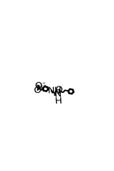 CC(C)(CNc1ccc([N+](=O)[O-])cc1)NC(=O)CCc1ccccc1